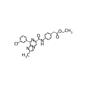 CCOC(=O)Cc1ccc(NC(=O)c2cn3cc(C)nc3c(-c3cccc(Cl)c3)n2)cc1